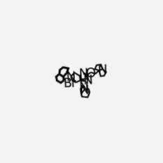 Brc1cccc2cccc(N3CCc4c(nc(OCC56CCCN5CCC6)nc4N4CC5CCC(C4)N5)C3)c12